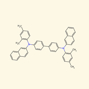 Cc1ccc(N(c2ccc(-c3ccc(N(c4ccc5ccccc5c4)c4ccc(C)cc4C)cc3)cc2)c2ccc3ccccc3c2)c(C)c1